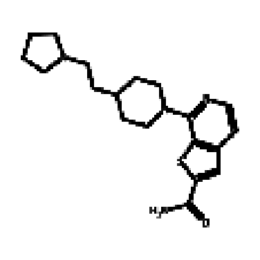 NC(=O)c1cc2ccnc(N3CCC(CCN4CCCC4)CC3)c2s1